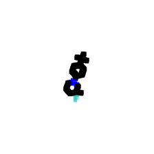 CC1(F)CCCN(c2ccc(C(C)(C)C)cc2)C1